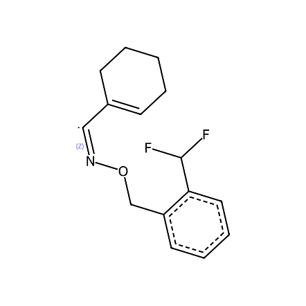 FC(F)c1ccccc1CO/N=[C]\C1=CCCCC1